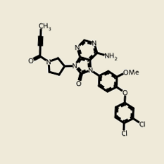 CC#CC(=O)N1CCC(n2c(=O)n(-c3ccc(Oc4ccc(Cl)c(Cl)c4)c(OC)c3)c3c(N)ncnc32)C1